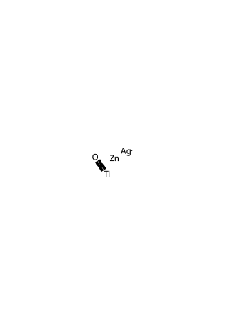 [Ag].[O]=[Ti].[Zn]